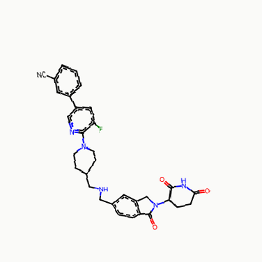 N#Cc1cccc(-c2cnc(N3CCC(CNCc4ccc5c(c4)CN(C4CCC(=O)NC4=O)C5=O)CC3)c(F)c2)c1